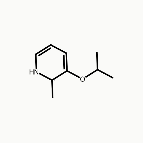 C[C]1NC=CC=C1OC(C)C